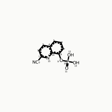 N#Cc1ccc2cccc(OP(=O)(O)O)c2n1